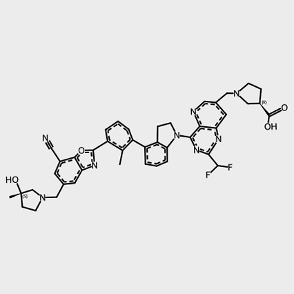 Cc1c(-c2nc3cc(CN4CC[C@](C)(O)C4)cc(C#N)c3o2)cccc1-c1cccc2c1CCN2c1nc(C(F)F)nc2cc(CN3CC[C@@H](C(=O)O)C3)cnc12